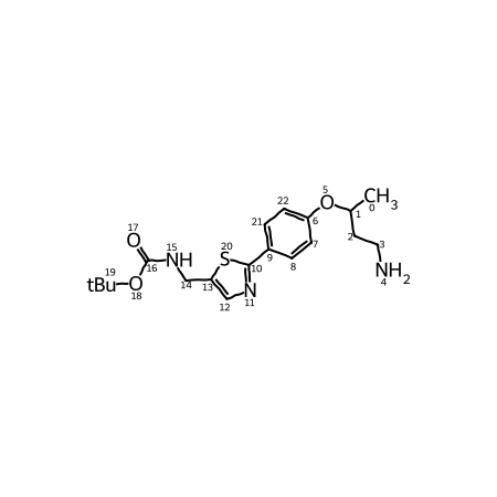 CC(CCN)Oc1ccc(-c2ncc(CNC(=O)OC(C)(C)C)s2)cc1